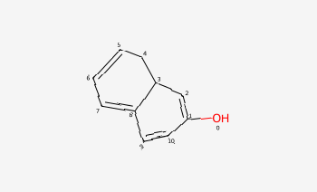 OC1=CC2CC=CC=C2C=C1